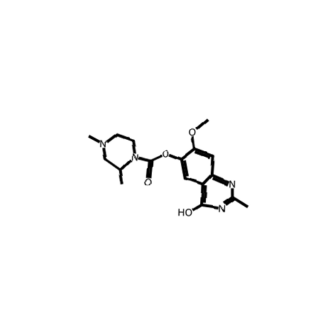 COc1cc2nc(C)nc(O)c2cc1OC(=O)N1CCN(C)CC1C